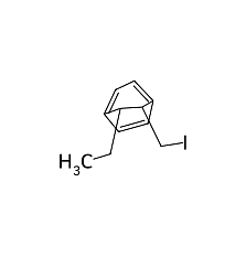 CCC1c2ccc(cc2)C1CI